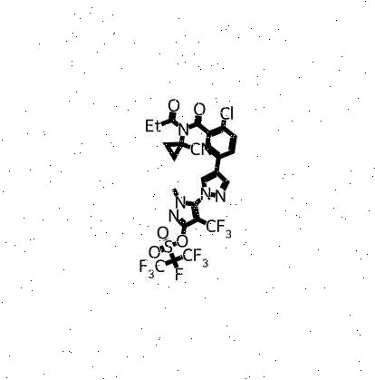 CCC(=O)N(C(=O)c1cc(-c2cnn(-c3c(C(F)(F)F)c(OS(=O)(=O)C(F)(C(F)(F)F)C(F)(F)F)nn3C)c2)ccc1Cl)C1(C#N)CC1